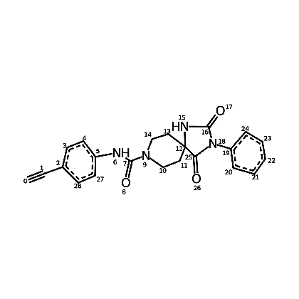 C#Cc1ccc(NC(=O)N2CCC3(CC2)NC(=O)N(c2ccccc2)C3=O)cc1